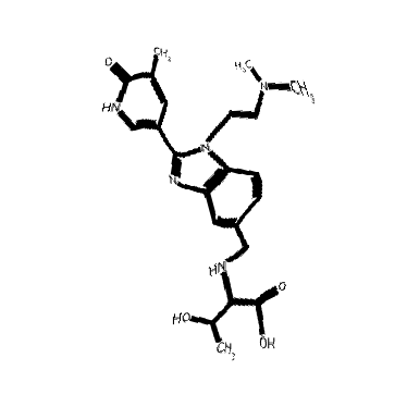 Cc1cc(-c2nc3cc(CNC(C(=O)O)C(C)O)ccc3n2CCN(C)C)c[nH]c1=O